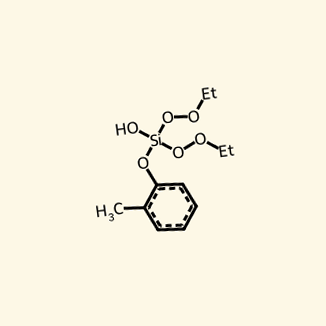 CCOO[Si](O)(OOCC)Oc1ccccc1C